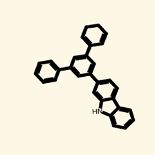 C1=CC(c2cc(-c3ccccc3)cc(-c3ccc4c(c3)[nH]c3ccccc34)c2)=CCC1